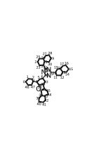 c1ccc(-c2cc(-c3nc(-c4ccc5ccccc5c4)nc(-c4cccc5ccccc45)n3)cc3c2oc2c4ccccc4ccc32)cc1